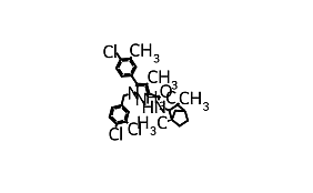 Cc1cc(-c2c(C)c(C(=O)NC3C(C)(C)C4CC[C@@]3(C)C4)nn2Cc2ccc(Cl)c(Cl)c2)ccc1Cl